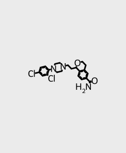 NC(=O)c1ccc2c(c1)CCOC2CCN1CCN(c2ccc(Cl)cc2Cl)CC1